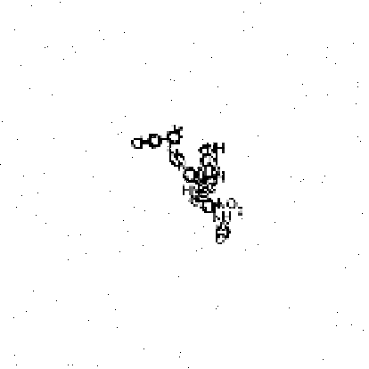 CC1(C)CCC(CN2CCN(c3ccc(C(=O)NS(=O)(=O)c4ccc(NC[C@H]5COCCO5)c([N+](=O)[O-])c4)c(N4c5cc6cc[nH]c6nc5O[C@@H]5COC[C@@H]54)c3)CC2)=C(c2ccc(Cl)cc2)C1